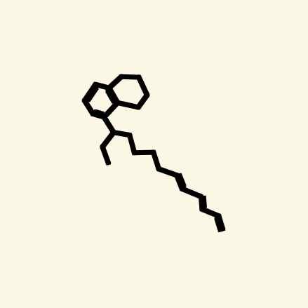 C=CC=CC=CCCCCC(CC)c1cccc2c1CCCC2